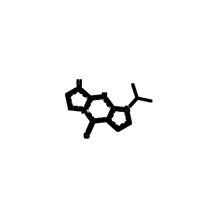 CC(C)n1ccc2c(=O)n3cc[nH]c3nc21